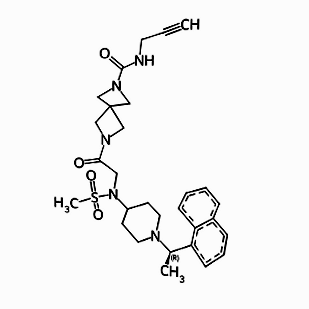 C#CCNC(=O)N1CC2(CN(C(=O)CN(C3CCN([C@H](C)c4cccc5ccccc45)CC3)S(C)(=O)=O)C2)C1